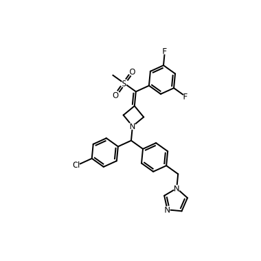 CS(=O)(=O)C(=C1CN(C(c2ccc(Cl)cc2)c2ccc(Cn3ccnc3)cc2)C1)c1cc(F)cc(F)c1